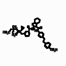 CC(C)(CC(=O)O)CC(=O)N(Cc1cccc(C(=O)Nc2sc3c(c2C(=O)Nc2ccc(CCc4ccc(C(=O)O)cc4)cc2)CCCC3)c1)C1CC1